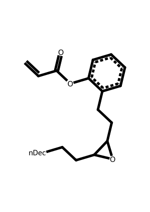 C=CC(=O)Oc1ccccc1CCC1OC1CCCCCCCCCCCC